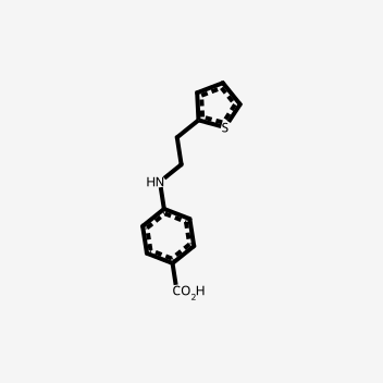 O=C(O)c1ccc(NCCc2cccs2)cc1